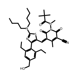 CCCCN(CCCC)c1nc(-c2c(CC)cc(CO)cc2CC)c(/C=C2\C(=O)N(N(C)C(=O)C(C)(C)C)C(=O)C(C#N)=C2C)s1